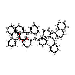 c1cc(-c2cc3ccccc3c3ccccc23)cc(N(c2ccc(-c3ccccc3-n3c4ccccc4c4c5ccccc5ccc43)cc2)c2ccccc2-c2cccc3ccccc23)c1